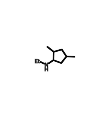 CCNC1CC(C)CC1C